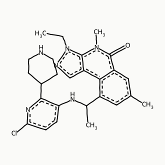 CCn1ncc2c3c(C(C)Nc4ccc(Cl)nc4C4CCNCC4)cc(C)cc3c(=O)n(C)c21